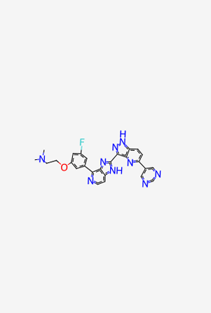 CN(C)CCOc1cc(F)cc(-c2nccc3[nH]c(-c4n[nH]c5ccc(-c6cncnc6)nc45)nc23)c1